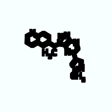 C[C@H](c1ccc2ncccc2c1)n1nnc2ncc(-c3cnn(C)c3)nc21